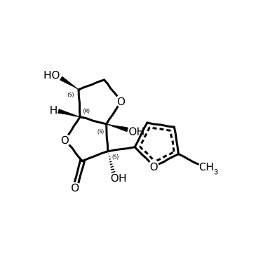 Cc1ccc([C@@]2(O)C(=O)O[C@@H]3[C@@H](O)CO[C@@]32O)o1